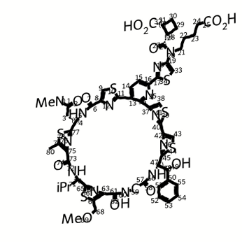 CNC(=O)C[C@@H]1NC(=O)c2csc(n2)-c2ccc(-c3nc(N(CCCCC(=O)O)C(=O)[C@H]4CC[C@H]4C(=O)O)cs3)nc2-c2csc(n2)-c2csc(n2)[C@H]([C@@H](O)c2ccccc2)NC(=O)CNC(=O)c2nc(sc2COC)C(C(C)C)NC(=O)c2nc1sc2C